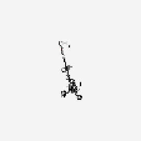 CCCCCCCCCCCCNC(=O)CCCOc1ccc(NC(NC(=O)CCc2cccnc2)C(=O)NCCc2ccccc2)cc1